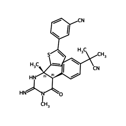 CN1C(=N)N[C@](C)(c2ccc(-c3cccc(C#N)c3)s2)[C@@H](c2ccc(C(C)(C)C#N)cc2)C1=O